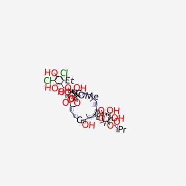 CCc1c(Cl)c(O)c(Cl)c(O)c1C(=O)O[C@H]1[C@H](O)[C@H](OC)[C@H](OC/C2=C\C=C\C[C@H](O)/C(C)=C/[C@H](CC)[C@@H](O[C@@H]3OC(C)(C)[C@@H](OC(=O)C(C)C)[C@H](O)[C@@H]3O)/C(C)=C/C(C)=C/C(C)=C/C[C@@H]([C@@H](C)O)OC2=O)O[C@@H]1C